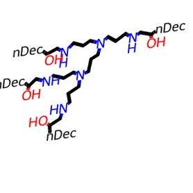 CCCCCCCCCCC(O)CNCCCN(CCCNCC(O)CCCCCCCCCC)CCCN(CCCNCC(O)CCCCCCCCCC)CCCNCC(O)CCCCCCCCCC